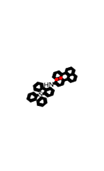 c1ccc(-c2cccc3cccc(-c4ccc(Nc5cccc6c5-c5ccccc5S6(c5ccccc5)c5ccccc5)cc4)c23)cc1